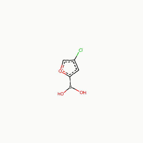 OB(O)c1cc(Cl)co1